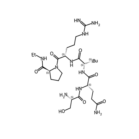 CCNC(=O)[C@@H]1CCCN1C(=O)[C@H](CCCNC(=N)N)NC(=O)[C@@H](NC(=O)[C@H](CCC(N)=O)NC(=O)[C@@H](N)CO)[C@@H](C)CC